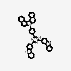 C1=CC2Oc3ccc(C4=NC(c5ccc6sc7ccccc7c6c5)NC(c5ccc(-n6c7ccc8ccccc8c7c7c8ccccc8ccc76)cc5)=N4)cc3C2C=C1